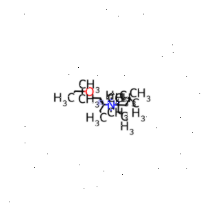 CC/C(=C\COC(C)(C)CC)[N+](C)(C)C(C)(CC)CC(C)(C)C